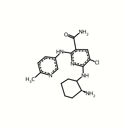 Cc1ccc(Nc2nc(NC3CCCC[C@@H]3N)c(Cl)cc2C(N)=O)cn1